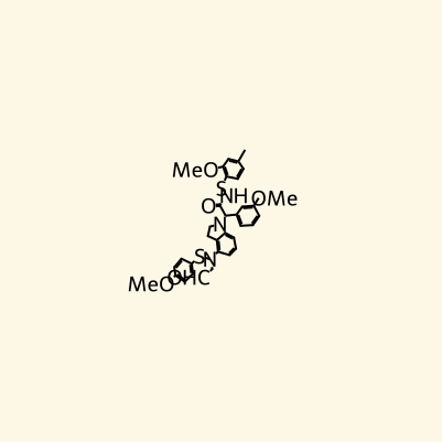 COc1ccc(SN(CC=O)c2cccc3c2CCN3C(C(=O)NSc2ccc(C)cc2OC)c2cccc(OC)c2)cc1